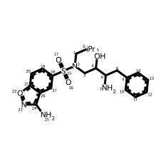 CC(C)CN(CC(O)C(N)Cc1ccccc1)S(=O)(=O)c1ccc2onc(N)c2c1